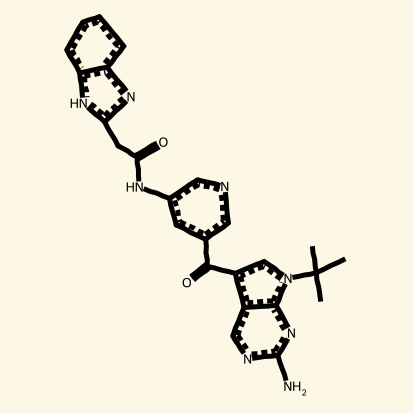 CC(C)(C)n1cc(C(=O)c2cncc(NC(=O)Cc3nc4ccccc4[nH]3)c2)c2cnc(N)nc21